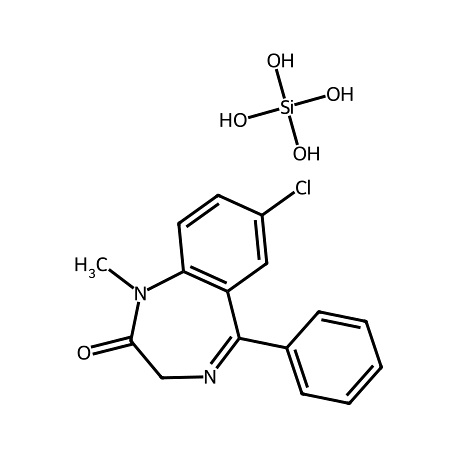 CN1C(=O)CN=C(c2ccccc2)c2cc(Cl)ccc21.O[Si](O)(O)O